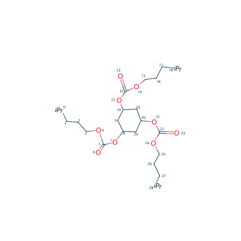 CC(C)CCCOC(=O)OC1CC(OC(=O)OCCCC(C)C)CC(OC(=O)OCCCC(C)C)C1